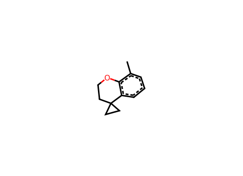 Cc1cccc2c1OCCC21CC1